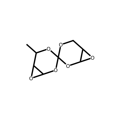 CC1OC2(OCC3OC3O2)OC2OC12